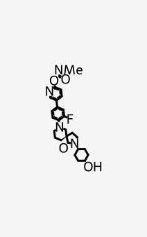 CNC(=O)Oc1ccc(-c2ccc(N3CCC[C@]4(CCN([C@H]5CC[C@@H](O)CC5)C4=O)C3)c(F)c2)cn1